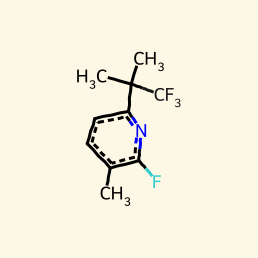 Cc1ccc(C(C)(C)C(F)(F)F)nc1F